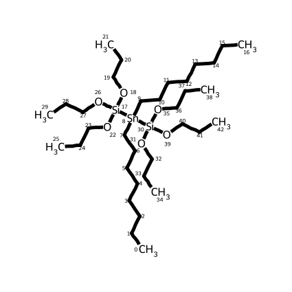 CCCCCCC[CH2][Sn]([CH2]CCCCCCC)([Si](OCCC)(OCCC)OCCC)[Si](OCCC)(OCCC)OCCC